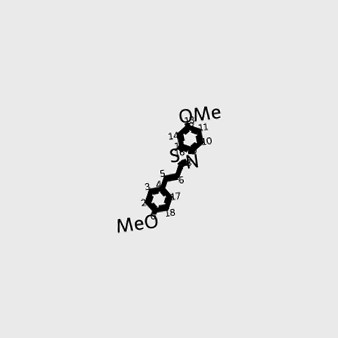 COc1ccc(/C=C/c2nc3ccc(OC)cc3s2)cc1